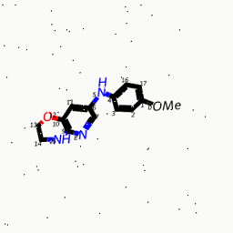 COc1ccc(Nc2cnc3c(c2)OCCN3)cc1